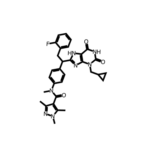 Cc1nn(C)c(C)c1C(=O)N(C)c1ccc(C(Cc2ccccc2F)c2nc3c([nH]2)c(=O)[nH]c(=O)n3CC2CC2)cc1